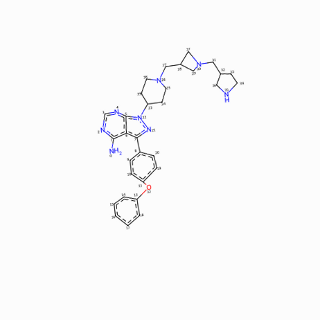 Nc1ncnc2c1c(-c1ccc(Oc3ccccc3)cc1)nn2C1CCN(CC2CN(CC3CCNC3)C2)CC1